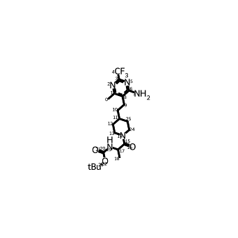 Cc1nc(C(F)(F)F)nc(N)c1CCC1CCN(C(=O)C(C)NC(=O)OC(C)(C)C)CC1